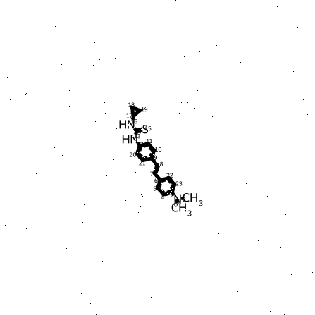 CN(C)c1ccc(/C=C/c2ccc(NC(=S)NC3CC3)cc2)cc1